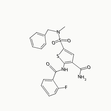 CN(Cc1ccccc1)S(=O)(=O)c1cc(C(N)=O)c(NC(=O)c2ccccc2F)s1